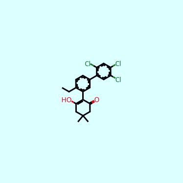 CCc1ccc(-c2cc(Cl)c(Cl)cc2Cl)cc1C1=C(O)CC(C)(C)CC1=O